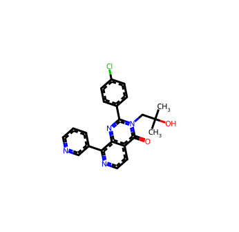 CC(C)(O)Cn1c(-c2ccc(Cl)cc2)nc2c(-c3cccnc3)nccc2c1=O